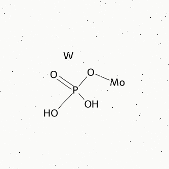 O=P(O)(O)[O][Mo].[W]